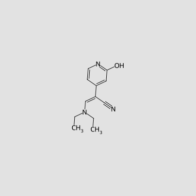 CCN(C=C(C#N)c1ccnc(O)c1)CC